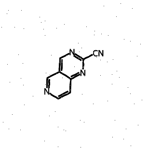 N#Cc1ncc2cnccc2n1